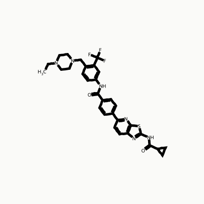 CCN1CCN(Cc2ccc(NC(=O)c3ccc(-c4ccc5nc(NC(=O)C6CC6)sc5n4)cc3)cc2C(F)(F)F)CC1